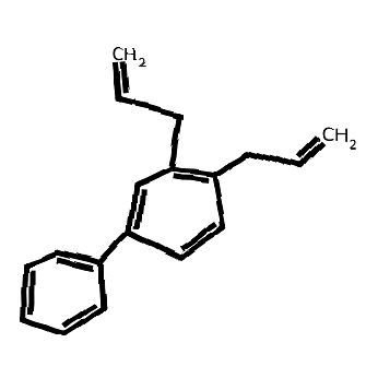 C=CCc1ccc(-c2ccccc2)cc1CC=C